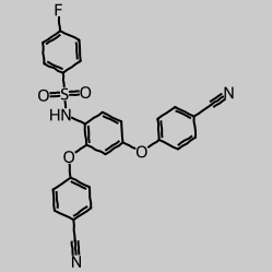 N#Cc1ccc(Oc2ccc(NS(=O)(=O)c3ccc(F)cc3)c(Oc3ccc(C#N)cc3)c2)cc1